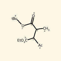 CCOC(=O)C(C(C)=O)C(C)C(=O)OC(C)(C)C